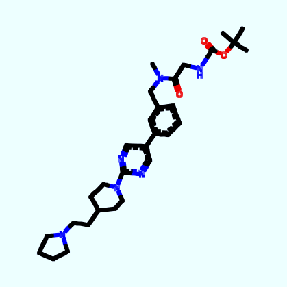 CN(Cc1cccc(-c2cnc(N3CCC(CCN4CCCC4)CC3)nc2)c1)C(=O)CNC(=O)OC(C)(C)C